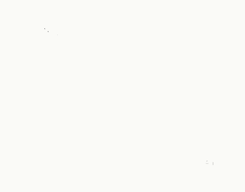 NCCCCCCCCCCC[CH2][Au]